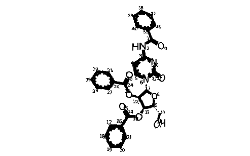 O=C(Nc1ccn([C@@H]2O[C@H](CO)[C@@H](OC(=O)c3ccccc3)[C@H]2OC(=O)c2ccccc2)c(=O)n1)c1ccccc1